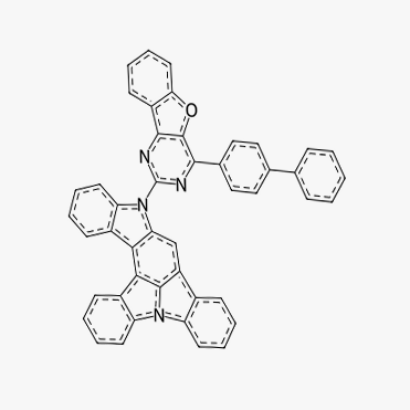 c1ccc(-c2ccc(-c3nc(-n4c5ccccc5c5c6c7ccccc7n7c8ccccc8c(cc54)c67)nc4c3oc3ccccc34)cc2)cc1